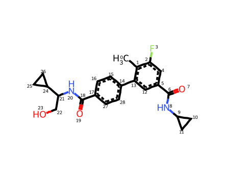 Cc1c(F)cc(C(=O)NC2CC2)cc1-c1ccc(C(=O)NC(CO)C2CC2)cc1